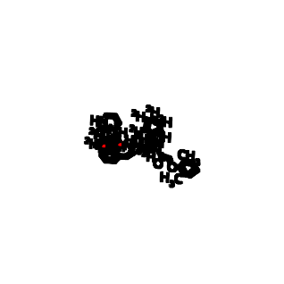 [2H]c1c([2H])c([2H])c(C([2H])([2H])[C@]([2H])(NC(=O)COc2c(C)cccc2C)[C@@H](O)C[C@H](Cc2ccccc2)NC(=O)[C@@]([2H])(N2CCCNC2=O)C([2H])(C([2H])([2H])[2H])C([2H])([2H])[2H])c([2H])c1[2H]